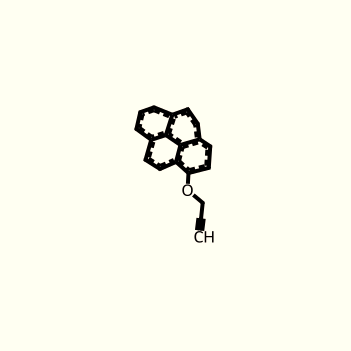 C#CCOc1ccc2ccc3cccc4ccc1c2c34